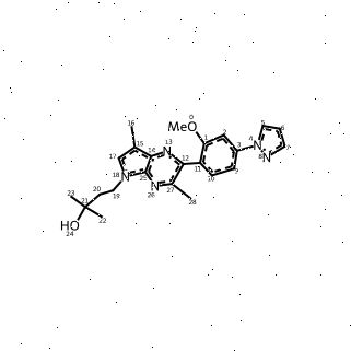 COc1cc(-n2cccn2)ccc1-c1nc2c(C)cn(CCC(C)(C)O)c2nc1C